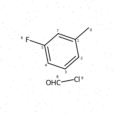 Cc1cccc(F)c1.O=CCl